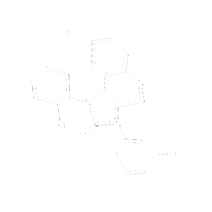 Cc1ccc2ncc3c(c2c1)n(-c1ccccc1Cl)c(=O)n3-c1cccc(C(F)(F)F)c1